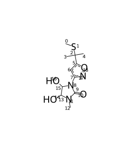 CSC(C)(C)c1cc(N2C(=O)N(C)C(O)C2O)no1